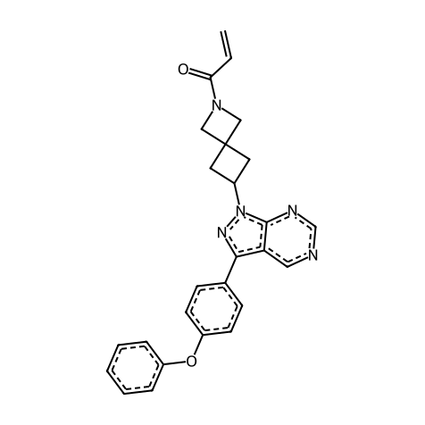 C=CC(=O)N1CC2(CC(n3nc(-c4ccc(Oc5ccccc5)cc4)c4cncnc43)C2)C1